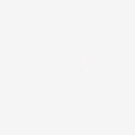 CC(C)(C)OC(=O)NCc1ccc(F)cc1NC(=O)O